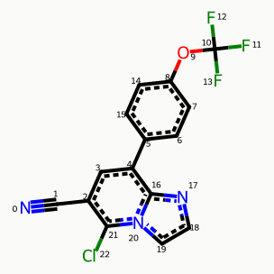 N#Cc1cc(-c2ccc(OC(F)(F)F)cc2)c2nccn2c1Cl